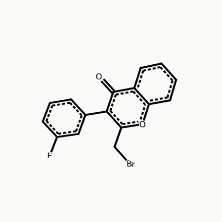 O=c1c(-c2cccc(F)c2)c(CBr)oc2ccccc12